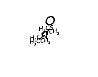 CC(C)(C)c1ccc(C(C)(C)SC2CCCCCCCC2)cn1